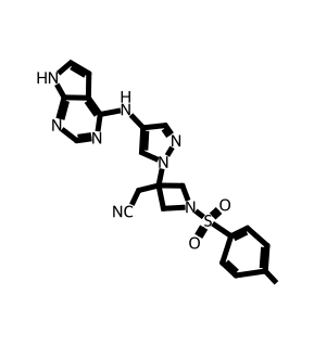 Cc1ccc(S(=O)(=O)N2CC(CC#N)(n3cc(Nc4ncnc5[nH]ccc45)cn3)C2)cc1